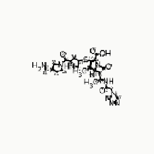 C[C@@H](NC(=O)Cn1cnnn1)[C@H]1C(=O)N2C(C(=O)O)=C(SC3CNC(C(=O)N4CC[C@H](CN)C4)C3)[C@H](C)[C@H]12